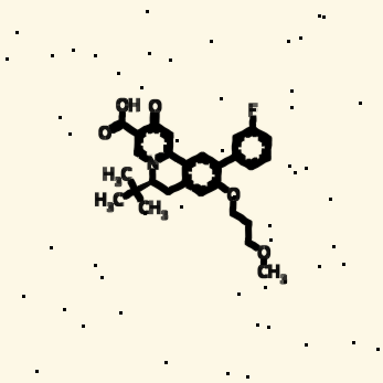 COCCCOc1cc2c(cc1-c1cccc(F)c1)-c1cc(=O)c(C(=O)O)cn1[C@H](C(C)(C)C)C2